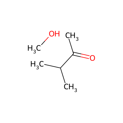 CC(=O)C(C)C.CO